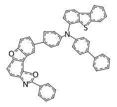 c1ccc(-c2ccc(N(c3ccc(-c4ccc5oc6ccc7nc(-c8ccccc8)oc7c6c5c4)cc3)c3cccc4c3sc3ccccc34)cc2)cc1